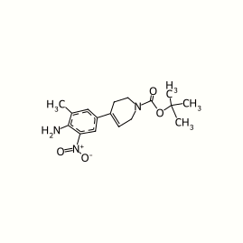 Cc1cc(C2=CCN(C(=O)OC(C)(C)C)CC2)cc([N+](=O)[O-])c1N